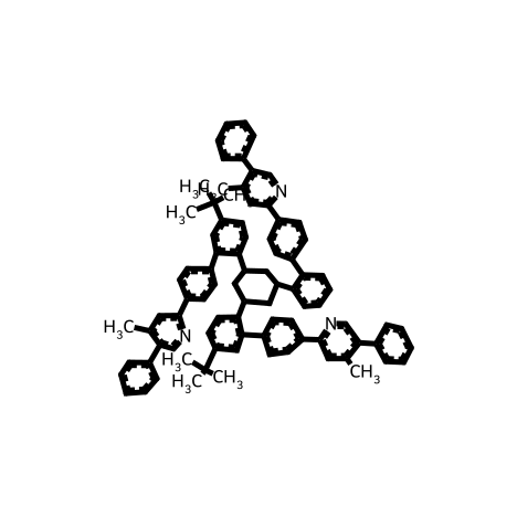 Cc1cc(-c2ccc(-c3ccccc3C3CC(c4ccc(C(C)(C)C)cc4-c4ccc(-c5cc(C)c(-c6ccccc6)cn5)cc4)CC(c4ccc(C(C)(C)C)cc4-c4ccc(-c5cc(C)c(-c6ccccc6)cn5)cc4)C3)cc2)ncc1-c1ccccc1